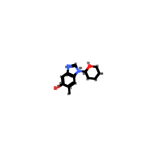 Cc1cc2c(cc1Br)ncn2C1CCCCO1